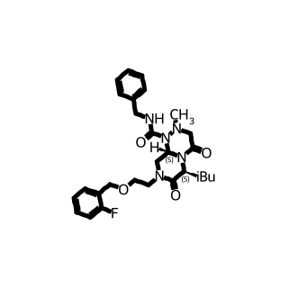 CCC(C)[C@H]1C(=O)N(CCOCc2ccccc2F)C[C@H]2N1C(=O)CN(C)N2C(=O)NCc1ccccc1